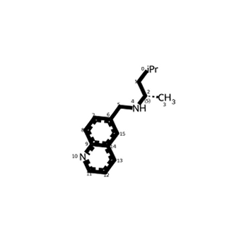 CC(C)C[C@H](C)NCc1ccc2ncccc2c1